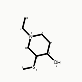 CCN1CCC(O)C(SC)C1